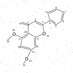 C=C1C=C(c2ccccc2)Oc2cc(OC)cc(OC)c21